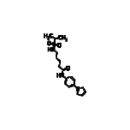 CC(C)S(=O)(=O)NCCCCC(=O)Nc1ccc(N2CC=CC2)cc1